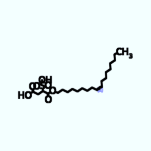 CCCCCCCC/C=C\CCCCCCCCOC(=O)C(CC(=O)O)S(=O)(=O)O